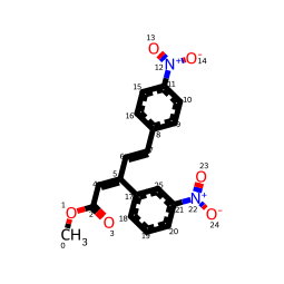 COC(=O)/C=C(/C=C/c1ccc([N+](=O)[O-])cc1)c1cccc([N+](=O)[O-])c1